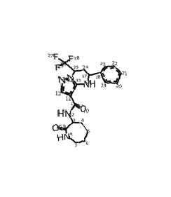 O=C(NC1CCCCNC1=O)c1cnn2c1NC(c1ccccc1)CC2C(F)(F)F